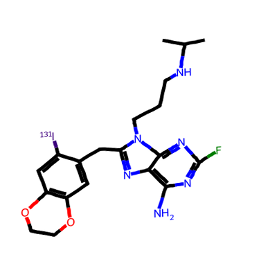 CC(C)NCCCn1c(Cc2cc3c(cc2[131I])OCCO3)nc2c(N)nc(F)nc21